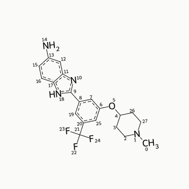 CN1CCC(Oc2cc(-c3nc4cc(N)ccc4[nH]3)cc(C(F)(F)F)c2)CC1